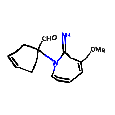 COc1cccn(C2(C=O)CC=CC2)c1=N